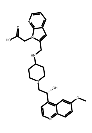 COc1ccc2nccc([C@@H](O)CN3CCC(NCc4cc5cccnc5n4CC(=O)O)CC3)c2c1